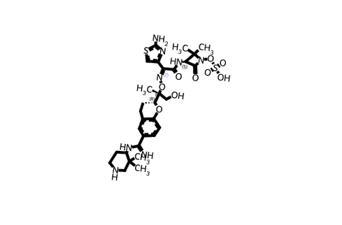 CC1(C)CNCCC1NC(=N)c1ccc2c(c1)CC[C@H]([C@@](C)(CO)O/N=C(\C(=O)N[C@@H]1C(=O)N(OS(=O)(=O)O)C1(C)C)c1csc(N)n1)O2